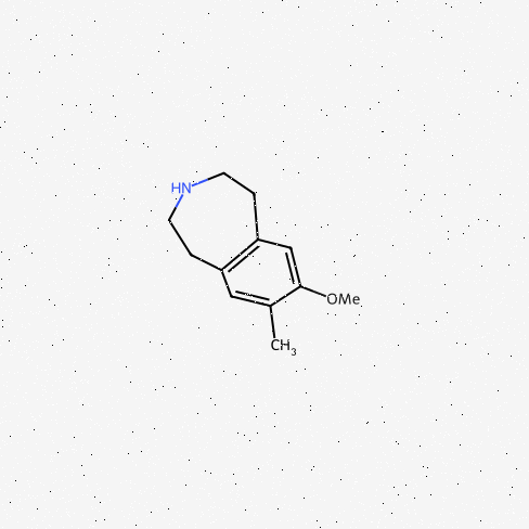 COc1cc2c(cc1C)CCNCC2